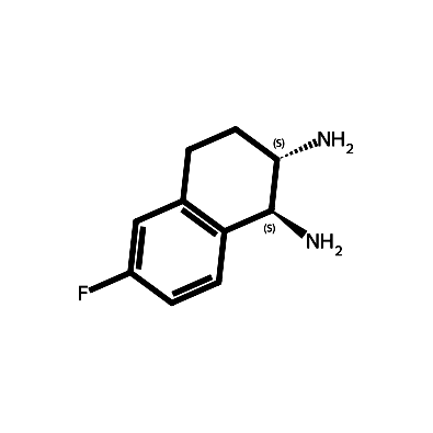 N[C@H]1CCc2cc(F)ccc2[C@@H]1N